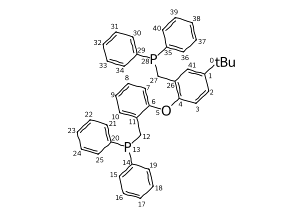 CC(C)(C)c1ccc(Oc2ccccc2CP(c2ccccc2)c2ccccc2)c(CP(c2ccccc2)c2ccccc2)c1